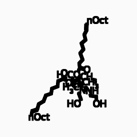 CCCCCCCCC=CCCCCCCCC(=O)OC(C)(C)C(C)(OC(=O)CCCCCCCC=CCCCCCCCC)C(C)(C)N(CCO)NCCO